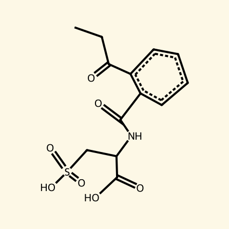 CCC(=O)c1ccccc1C(=O)NC(CS(=O)(=O)O)C(=O)O